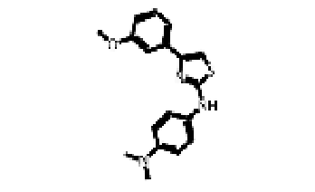 COc1cccc(-c2csc(Nc3ccc(N(C)C)cc3)n2)c1